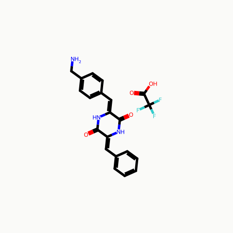 NCc1ccc(C=c2[nH]c(=O)c(=Cc3ccccc3)[nH]c2=O)cc1.O=C(O)C(F)(F)F